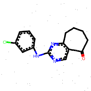 O=C1CCCCc2nc(Nc3cccc(Cl)c3)ncc21